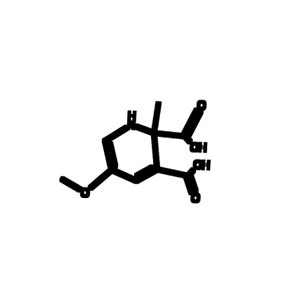 COC1=CNC(C)(C(=O)O)C(C(=O)O)=C1